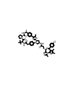 Cc1ncsc1-c1ccc([C@H](C)NC(=O)[C@@H]2CCCN2C(=O)C(NC(=O)Cc2ccc(N3CC[C@@H](NC(=O)CC[C@@H]4N=C(c5ccc(Cl)cc5)c5c(sc(C)c5C)-n5c(C)nnc54)C3)cc2)C(C)(C)C)cc1